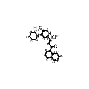 Cc1cnc(/C=C/C(=O)c2cccc3ccccc23)cc1N1CCCCC1.Cl